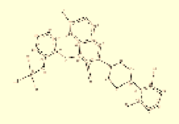 Cc1cnc2cc(C3CCC(c4c(C)cccc4F)CC3)c(=O)n(Cc3ncccc3OC(F)(F)F)c2n1